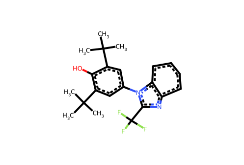 CC(C)(C)c1cc(-n2c(C(F)(F)F)nc3ccccc32)cc(C(C)(C)C)c1O